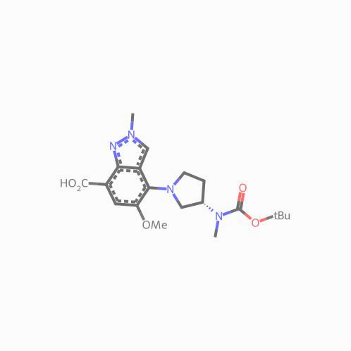 COc1cc(C(=O)O)c2nn(C)cc2c1N1CC[C@H](N(C)C(=O)OC(C)(C)C)C1